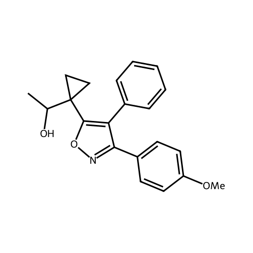 COc1ccc(-c2noc(C3(C(C)O)CC3)c2-c2ccccc2)cc1